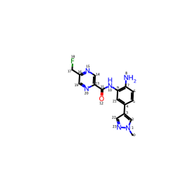 Cn1cc(-c2ccc(N)c(NC(=O)c3cnc(CF)cn3)c2)cn1